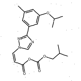 Cc1cc(OC(C)C)cc(-c2ncn(/C=C\C(=O)OC(=O)OCC(C)C)n2)c1